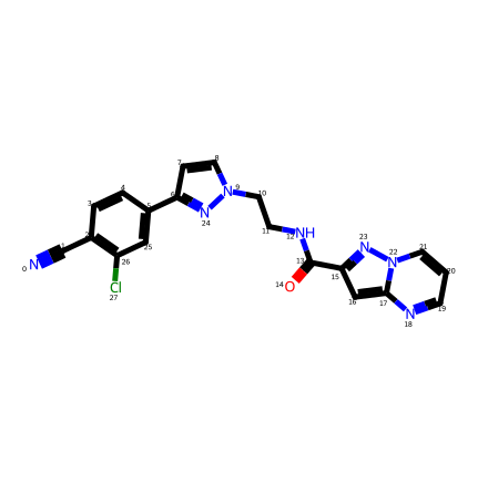 N#Cc1ccc(-c2ccn(CCNC(=O)c3cc4ncccn4n3)n2)cc1Cl